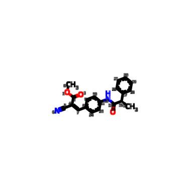 COC(=O)C(C#N)=Cc1ccc(NC(=O)[C@H](C)c2ccccc2)cc1